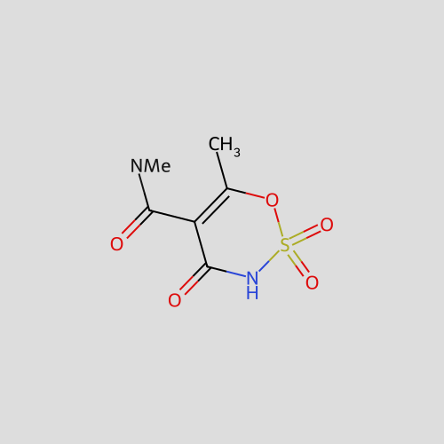 CNC(=O)C1=C(C)OS(=O)(=O)NC1=O